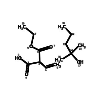 C=CC(C(=O)O)C(=O)OCC.CCCC(C)(C)O